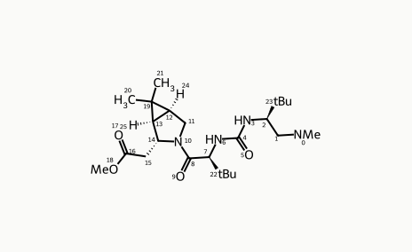 CNC[C@@H](NC(=O)N[C@H](C(=O)N1C[C@H]2[C@@H]([C@H]1CC(=O)OC)C2(C)C)C(C)(C)C)C(C)(C)C